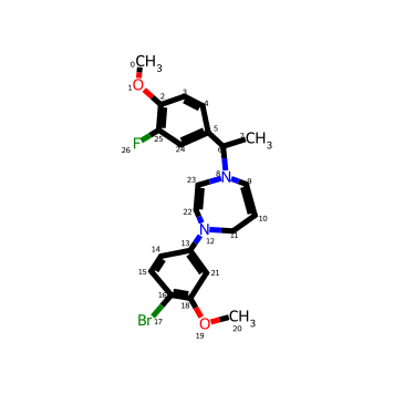 COc1ccc(C(C)N2C=CCN(c3ccc(Br)c(OC)c3)C=C2)cc1F